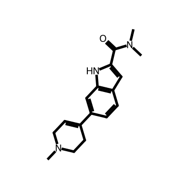 CN1CC=C(c2ccc3cc(C(=O)N(C)C)[nH]c3c2)CC1